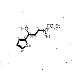 CCOC(=O)N(CC)CC[C@H](O)c1cccs1